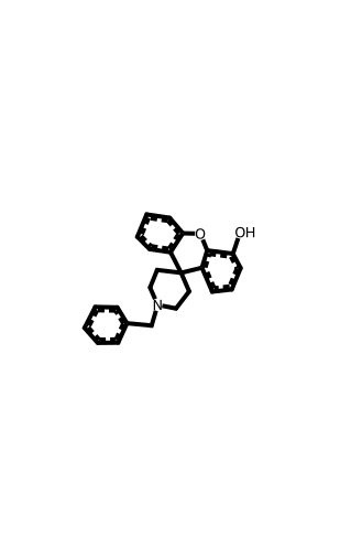 Oc1cccc2c1Oc1ccccc1C21CCN(Cc2ccccc2)CC1